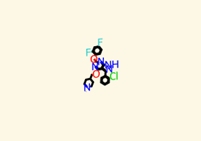 CN1CCC(COc2nc(Oc3ccc(F)cc3F)nc3[nH]nc(-c4ccccc4Cl)c23)CC1